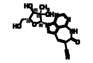 C[C@@]1(O)[C@H](O)[C@@H](CO)O[C@H]1n1cc2c3c(ncnc31)NC(=O)C(C#N)=C2